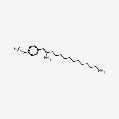 COc1ccc(C=C(N)CCCCCCCCCCCN)cc1